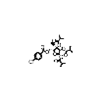 C#C[C@@]1(OC(=O)C(C)C)[C@@H](COC(=O)c2ccc(Cl)cc2)OC(OC(=O)C(C)C)[C@@H]1OC(=O)C(C)C